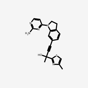 Cc1csc(C(C)(O)C#Cc2ccc3c(c2)N(c2ccnc(N)n2)CC3)n1